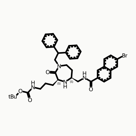 CC(C)(C)OC(=O)NCCC[C@@H]1N[C@H](CNC(=O)c2ccc3cc(Br)ccc3c2)CCN(CC(c2ccccc2)c2ccccc2)C1=O